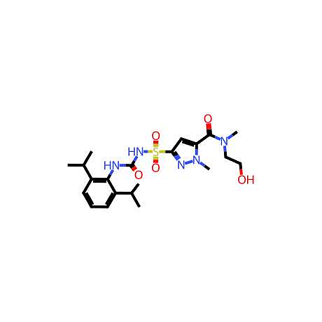 CC(C)c1cccc(C(C)C)c1NC(=O)NS(=O)(=O)c1cc(C(=O)N(C)CCO)n(C)n1